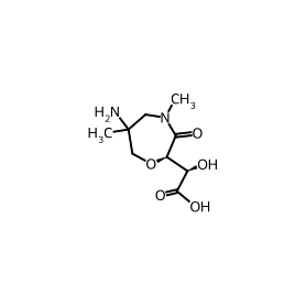 CN1CC(C)(N)CO[C@H]([C@@H](O)C(=O)O)C1=O